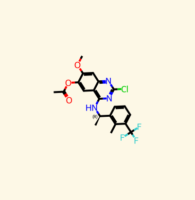 COc1cc2nc(Cl)nc(N[C@H](C)c3cccc(C(F)(F)F)c3C)c2cc1OC(C)=O